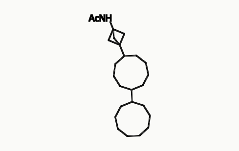 CC(=O)NC12CC(C3CCCCC(C4CCCCCCCC4)CCC3)(C1)C2